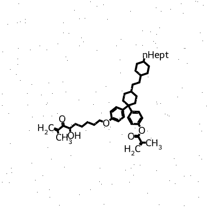 C=C(C)C(=O)Oc1ccc(C2(c3ccc(OCCCCCC(O)C(=O)C(=C)C)cc3)CCC(CCC3CCC(CCCCCCC)CC3)CC2)cc1